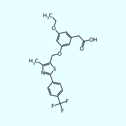 CCOc1cc(CC(=O)O)cc(OCc2sc(-c3ccc(C(F)(F)F)cc3)nc2C)c1